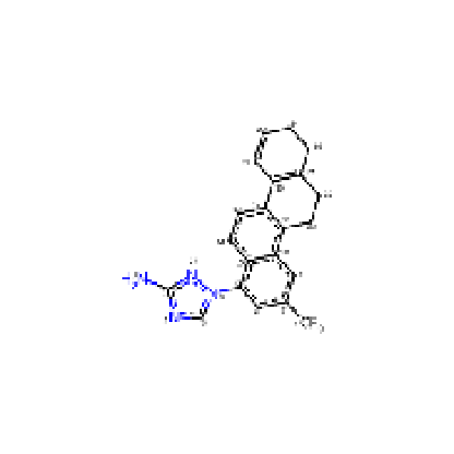 Nc1ncn(-c2cc(C(F)(F)F)cc3c4c(ccc23)C2=C(CCC=C2)CC4)n1